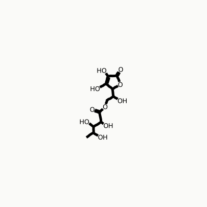 CC(O)C(O)C(O)C(=O)OCC(O)C1OC(=O)C(O)=C1O